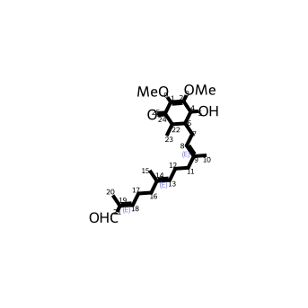 COC1=C(OC)C(O)C(C/C=C(\C)CC/C=C(\C)CC/C=C(\C)C=O)C(C)C1=O